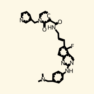 CN(C)Cc1ccc(Nc2ncc3c(F)c(/C=C/CNC(=O)c4cccn(Cc5cccnc5)c4=O)ccc3n2)cc1